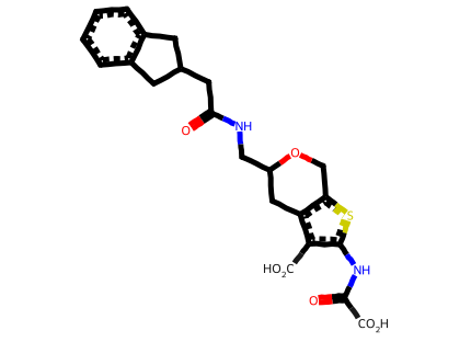 O=C(CC1Cc2ccccc2C1)NCC1Cc2c(sc(NC(=O)C(=O)O)c2C(=O)O)CO1